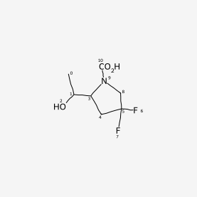 CC(O)C1CC(F)(F)CN1C(=O)O